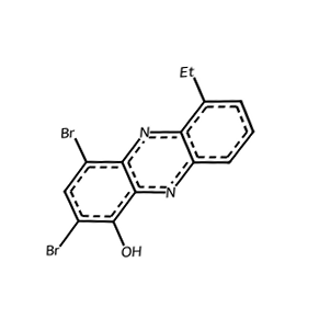 CCc1cccc2nc3c(O)c(Br)cc(Br)c3nc12